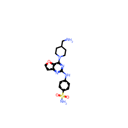 NCC1CCN(c2nc(Nc3ccc(S(N)(=O)=O)cc3)nc3ccoc23)CC1